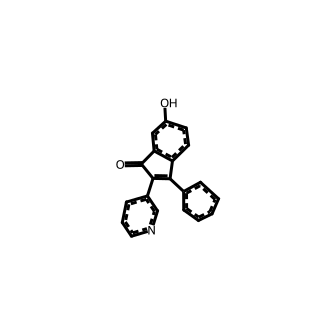 O=C1C(c2cccnc2)=C(c2ccccc2)c2ccc(O)cc21